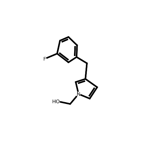 OCn1ccc(Cc2cccc(F)c2)c1